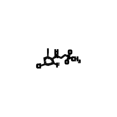 CS(=O)(=O)CCNc1c(F)cc(Cl)cc1I